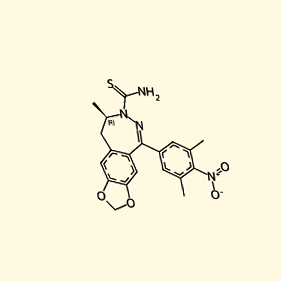 Cc1cc(C2=NN(C(N)=S)[C@H](C)Cc3cc4c(cc32)OCO4)cc(C)c1[N+](=O)[O-]